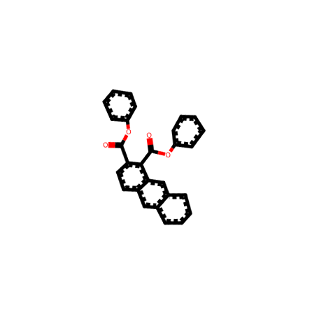 O=C(Oc1ccccc1)c1ccc2cc3ccccc3cc2c1C(=O)Oc1ccccc1